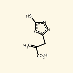 C=C(Cc1nnc(S)o1)C(=O)O